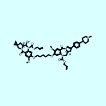 C=CCOC(=O)N1C[C@@H]2CC(c3ccc(C4CCN(C)CC4)cc3)=CN2C(=O)c2cc(OC)c(OCCCCCOc3cc4c(cc3OC)C(=O)N3CC5(CC5)C[C@H]3C(O)N4C(=O)OCC=C)cc21